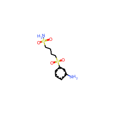 Nc1cccc(S(=O)(=O)CCCCS(N)(=O)=O)c1